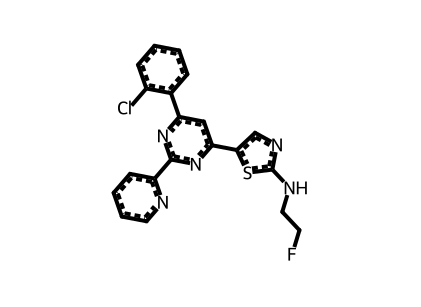 FCCNc1ncc(-c2cc(-c3ccccc3Cl)nc(-c3ccccn3)n2)s1